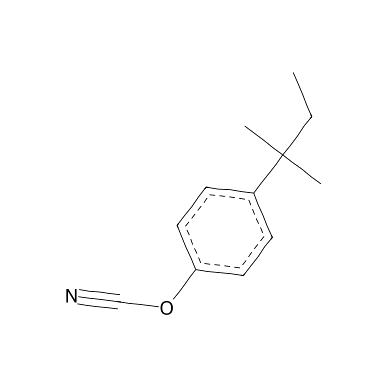 CCC(C)(C)c1ccc(OC#N)cc1